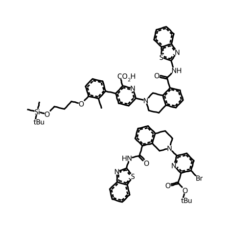 CC(C)(C)OC(=O)c1nc(N2CCc3cccc(C(=O)Nc4nc5ccccc5s4)c3C2)ccc1Br.Cc1c(OCCCO[Si](C)(C)C(C)(C)C)cccc1-c1ccc(N2CCc3cccc(C(=O)Nc4nc5ccccc5s4)c3C2)nc1C(=O)O